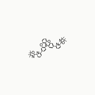 CC1(C)N=C(c2cccc(-c3ccc4c(c3)Oc3cccc5c3B4c3ccc(-c4cccc(C6=NC(C)(C)C(C)(C)O6)n4)cc3O5)n2)OC1(C)C